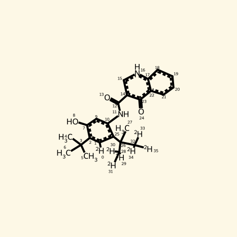 [2H]c1c(C(C)(C)C)c(O)cc(NC(=O)c2c[nH]c3ccccc3c2=O)c1C(C)(C([2H])([2H])[2H])C([2H])([2H])[2H]